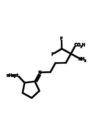 CCCCCCCC1CCCC1=NCCCC(N)(C(=O)O)C(F)F